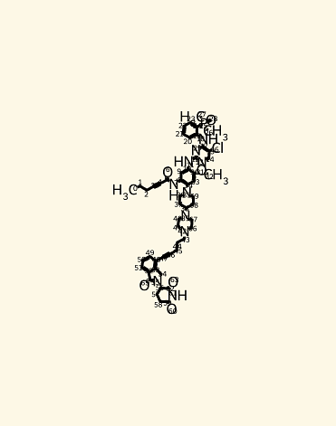 CCCC#CC(=O)Nc1cc(Nc2ncc(Cl)c(Nc3ccccc3P(C)(C)=O)n2)c(OC)cc1N1CCC(N2CCN(CCCC#Cc3cccc4c3CN(C3CCC(=O)NC3=O)C4=O)CC2)CC1